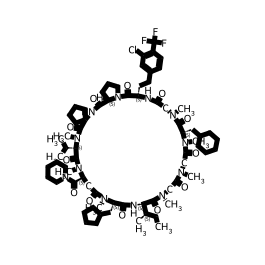 CC[C@H](C)[C@@H]1NC(=O)[C@H](CC2CCCC2)N(C)C(=O)C[C@@H](C(=O)N2CCCCC2)N(C)C(=O)[C@H](C(C)C)N(C)C(=O)C2(CCCC2)NC(=O)[C@@H]2CCCN2C(=O)[C@H](CCc2ccc(C(F)(F)F)c(Cl)c2)NC(=O)CN(C)C(=O)[C@H](CC2CCCCC2)N(C)C(=O)CN(C)C(=O)CN(C)C1=O